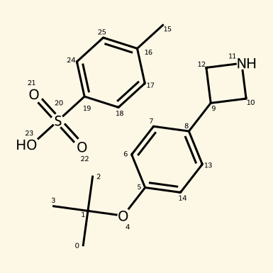 CC(C)(C)Oc1ccc(C2CNC2)cc1.Cc1ccc(S(=O)(=O)O)cc1